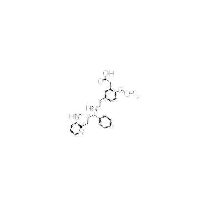 COc1ccc(CCN[C@H](c2ccccc2)[C@H]2CNc3cccnc3C2)cc1CC(=O)O